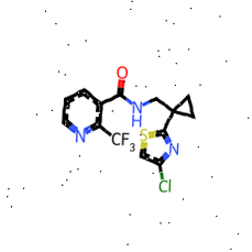 O=C(NCC1(c2nc(Cl)cs2)CC1)c1cccnc1C(F)(F)F